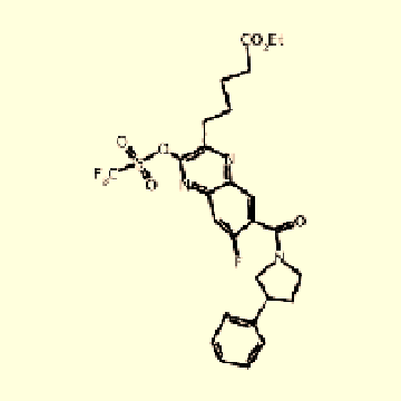 CCOC(=O)CCCCc1nc2cc(C(=O)N3CC[C@@H](c4ccccc4)C3)c(F)cc2nc1OS(=O)(=O)C(F)(F)F